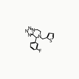 Fc1cccc(C2c3nnnn3CCN2Cc2cccs2)c1